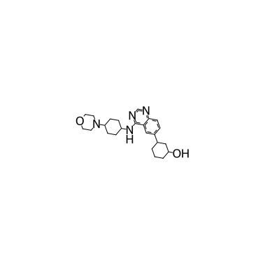 OC1CCCC(c2ccc3ncnc(NC4CCC(N5CCOCC5)CC4)c3c2)C1